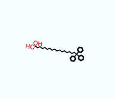 O[C](O)CCCCCCCCCCCCCCCCC(c1ccccc1)(c1ccccc1)c1ccccc1